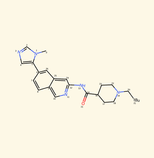 Cn1cncc1-c1ccc2cnc(NC(=O)C3CCN(CC(C)(C)C)CC3)cc2c1